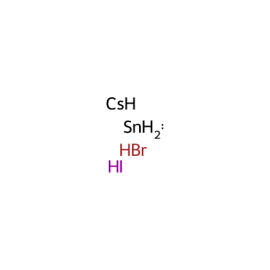 Br.I.[CsH].[SnH2]